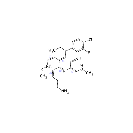 C=CN\C=C/C(=C\C(CC)c1ccc(Cl)c(F)c1)C(/C=C\CCN)=N\C(C=N)=C\BC